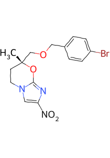 C[C@]1(COCc2ccc(Br)cc2)CCn2cc([N+](=O)[O-])nc2O1